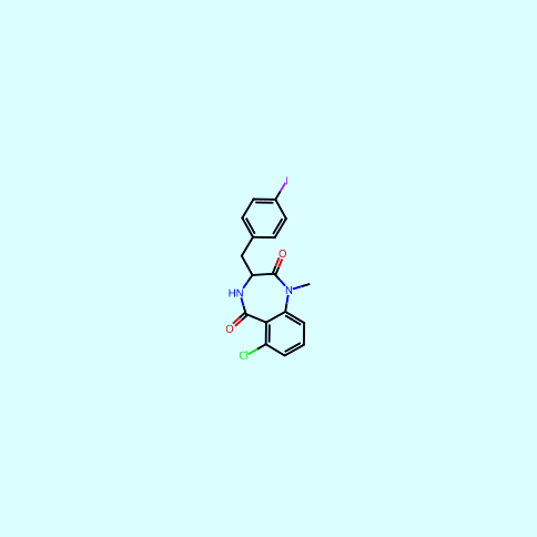 CN1C(=O)C(Cc2ccc(I)cc2)NC(=O)c2c(Cl)cccc21